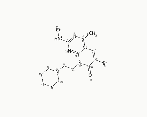 CCNc1nc(C)c2cc(Br)c(=O)n(CCN3CCCCC3)c2n1